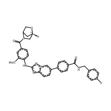 COc1cc(C(=O)N2C[C@@H]3CC2CO3)ccc1Nc1nc2ccc(-c3ccc(C(=O)NCc4ccc(F)cc4)cc3)cn2n1